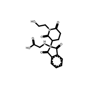 O=C(O)CN[N+]1(C2CCC(=O)N(CCO)C2=O)C(=O)c2ccccc2C1=O